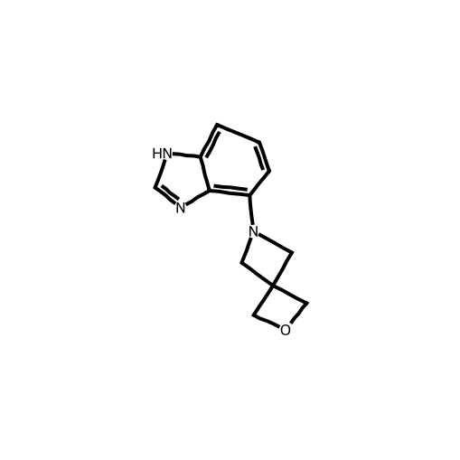 c1cc(N2CC3(COC3)C2)c2nc[nH]c2c1